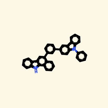 c1ccc(-n2c3ccccc3c3cc(-c4cccc(-c5cc6c7ccccc7[nH]c6c6ccccc56)c4)ccc32)cc1